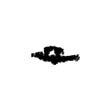 CCCCCCC1(CCCCCC)c2cc(-c3ccc(OC(C)C)cc3)ccc2-c2ccc(-c3ccc(-c4ccc5c(c4)C(CCCCCC)(CCCCCC)c4cc(-c6ccc(OC(C)C)cc6)ccc4-5)c4nsnc34)cc21